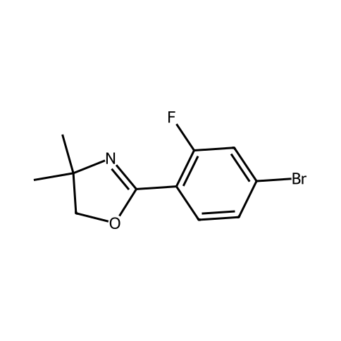 CC1(C)COC(c2ccc(Br)cc2F)=N1